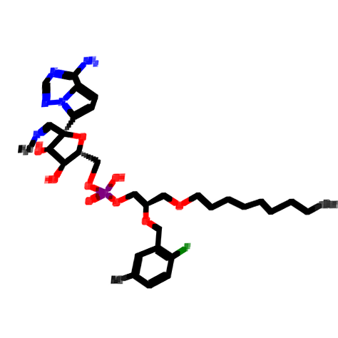 CCCCCCCCCCCCCCCCCCOC[C@H](COP(=O)(O)OC[C@H]1O[C@@](/C=N\C)(c2ccc3c(N)ncnn23)[C@H](O)[C@@H]1O)OCc1cc(C#N)ccc1F